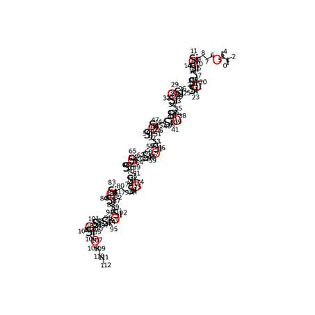 C=C(C)C(=C)OCCC[Si](C)(C)O[Si](C)(C)CC[Si](C)(C)O[Si](C)(C)CC[Si](C)(C)O[Si](C)(C)CC[Si](C)(C)O[Si](C)(C)CC[Si](C)(C)O[Si](C)(C)CC[Si](C)(C)O[Si](C)(C)CC[Si](C)(C)O[Si](C)(C)CC[Si](C)(C)O[Si](C)(C)CC[Si](C)(C)O[Si](C)(C)CC[Si](C)(C)O[Si](C)(C)CC[Si](C)(C)O[Si](C)(C)COCCCCC